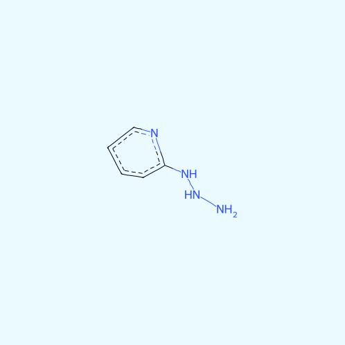 NNNc1ccccn1